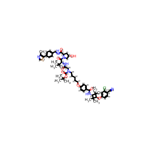 Cc1ncsc1-c1ccc(CNC(=O)C2C[C@@H](O)CN2C(=O)[C@@H](NC(=O)CN(CCCCCOc2ccc(C(=O)N[C@H]3C(C)(C)[C@H](Oc4ccc(C#N)c(Cl)c4)C3(C)C)cc2)C(=O)OC(C)(C)C)C(C)(C)C)cc1